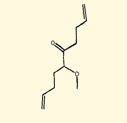 C=CCCC(=O)C(CCC=C)OC